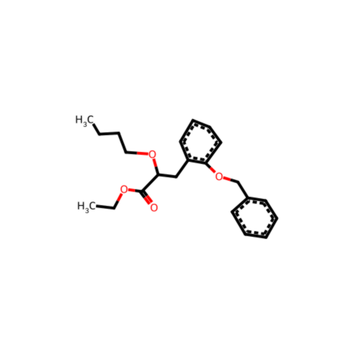 CCCCOC(Cc1ccccc1OCc1ccccc1)C(=O)OCC